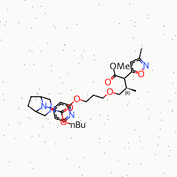 CCCCOC(=O)N1CC2CCC(C1)N2c1ccnc(OCCCOC[C@H](C)C(C(=O)OC)c2cc(C)no2)c1